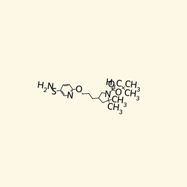 CC(C)(C)OC(=O)N1CC(CCCOc2ccc(SN)cn2)CC1(C)C